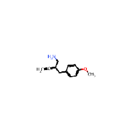 C=C=C(CN)Cc1ccc(OC)cc1